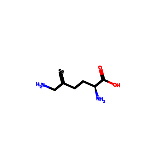 NCC(=[Se])CC[C@H](N)C(=O)O